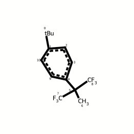 CC(C)(C)c1ccc(C(C)(C(F)(F)F)C(F)(F)F)cc1